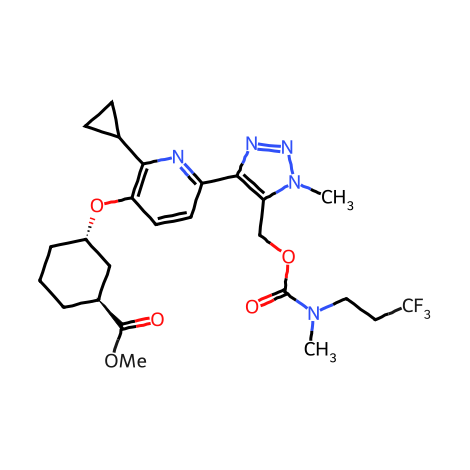 COC(=O)[C@H]1CCC[C@H](Oc2ccc(-c3nnn(C)c3COC(=O)N(C)CCC(F)(F)F)nc2C2CC2)C1